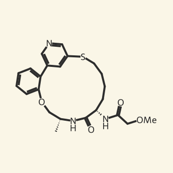 COCC(=O)N[C@H]1CCCCSc2cncc(c2)-c2ccccc2OC[C@@H](C)NC1=O